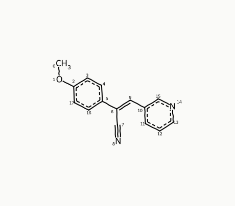 COc1ccc(/C(C#N)=C/c2cccnc2)cc1